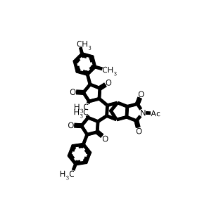 CC(=O)N1C(=O)C2C3CC(C2C1=O)C(C1C(=O)C(c2ccc(C)cc2C)C(=O)C1C)C3C1C(=O)C(c2ccc(C)cc2)C(=O)C1C